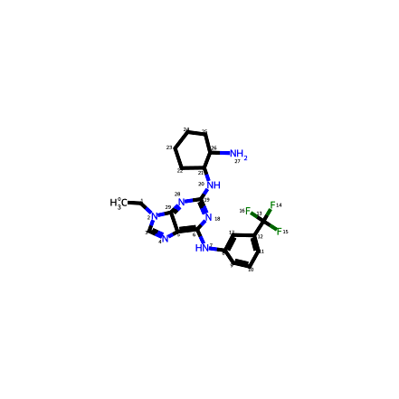 CCn1cnc2c(Nc3cccc(C(F)(F)F)c3)nc(NC3CCCCC3N)nc21